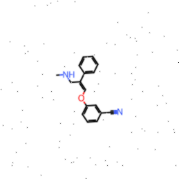 CNCC(=COc1cccc(C#N)c1)c1ccccc1